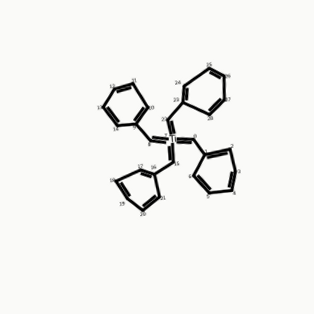 [CH](c1ccccc1)=[Ti](=[CH]c1ccccc1)(=[CH]c1ccccc1)=[CH]c1ccccc1